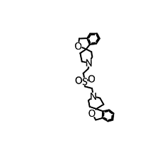 O=S(=O)(CCN1CCC2(CC1)OCc1ccccc12)CCN1CCC2(CC1)OCc1ccccc12